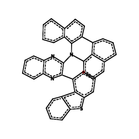 c1ccc2c3c(ccc2c1)-c1cccc2cccc(c12)N3c1nc2ccccc2nc1-c1cccc2sc3ccccc3c12